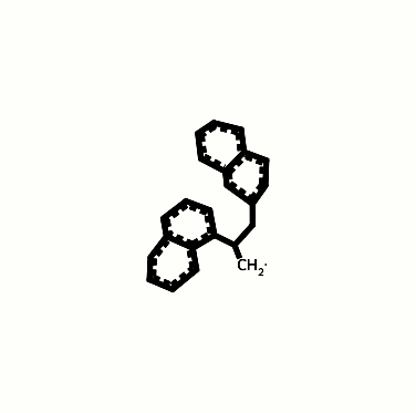 [CH2]C(Cc1ccc2ccccc2c1)c1cccc2ccccc12